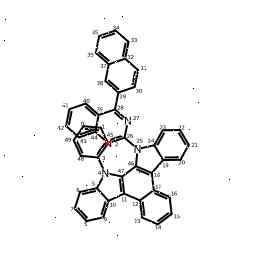 c1ccc(-n2c3ccccc3c3c4ccccc4c4c5ccccc5n(-c5nc(-c6ccc7ccccc7c6)c6ccccc6n5)c4c32)cc1